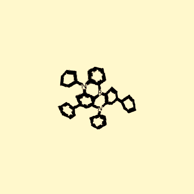 C1=CCC(C2C=CC3=C(C2)N(c2ccccc2)c2cc(-c4ccccc4)cc4c2B3c2ccccc2N4C2C=CC=CC2)C=C1